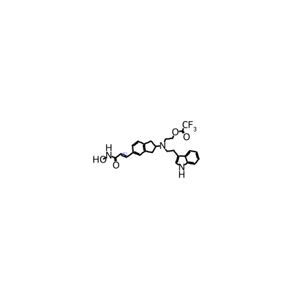 O=C(/C=C/c1ccc2c(c1)CC(N(CCOC(=O)C(F)(F)F)CCc1c[nH]c3ccccc13)C2)NO